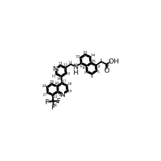 O=C(O)Cc1cccc2c(NCc3cncc(-c4ccnc5c(C(F)(F)F)cccc45)c3)cccc12